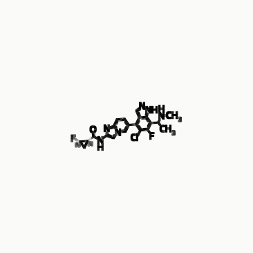 CNC(C)c1c(F)c(Cl)c(-c2ccc3nc(NC(=O)[C@@H]4C[C@@H]4F)cn3c2)c2cn[nH]c12